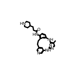 Cc1cnc2nc1Nc1ccc(NC(=O)CCC3CCNCC3)c(c1)CCc1cncc(c1)N2